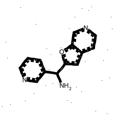 NC(c1cccnc1)c1cc2ccncc2o1